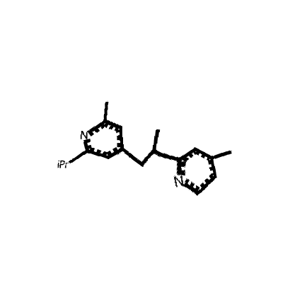 Cc1ccnc(C(C)Cc2cc(C)nc(C(C)C)c2)c1